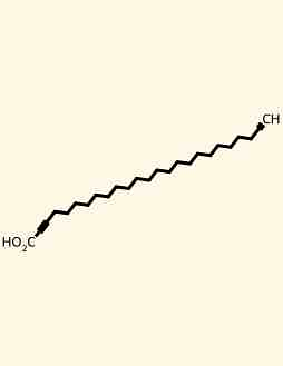 C#CCCCCCCCCCCCCCCCCCCCCC#CC(=O)O